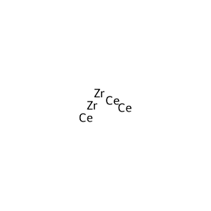 [Ce].[Ce].[Ce].[Zr].[Zr]